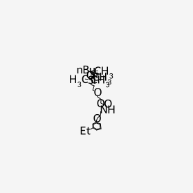 CCCC[Si](C)(C)O[Si](C)(C)CCCOCCOC(=O)NCCOc1cccc(CC)c1